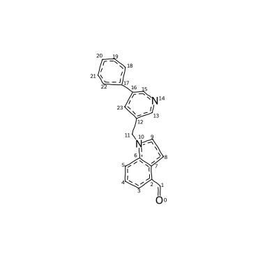 O=Cc1cccc2c1ccn2Cc1cncc(-c2ccccc2)c1